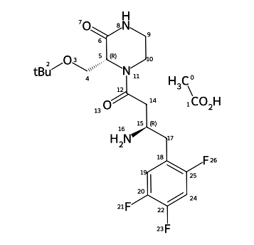 CC(=O)O.CC(C)(C)OC[C@@H]1C(=O)NCCN1C(=O)C[C@H](N)Cc1cc(F)c(F)cc1F